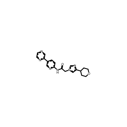 O=C(Cn1cnc(C2CCOCC2)c1)Nc1ccc(-c2cnccn2)cn1